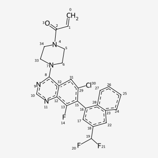 C=CC(=O)N1CCN(c2ncnc3c(F)c(-c4cc(C(F)F)cc5ccccc45)c(Cl)cc23)CC1